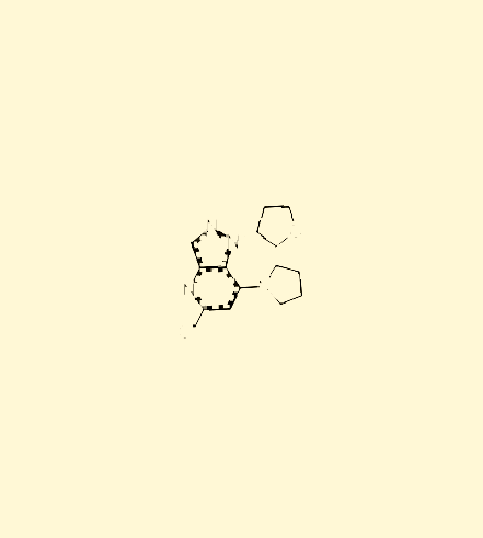 Clc1cc(N2CCCC2)c2c(cnn2[C@@H]2CCOC2)n1